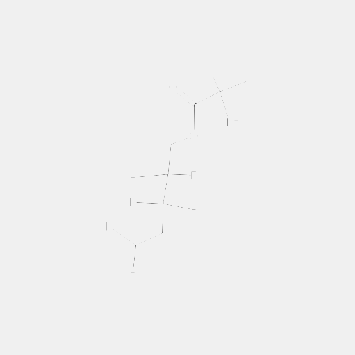 CCC(C)(C)C(=O)OCC(F)(F)C(F)(F)CC(F)F